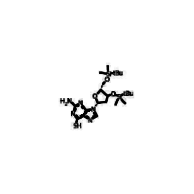 CC(C)(C)[Si](C)(C)OC[C@H]1O[C@@H](n2cnc3c(S)nc(N)nc32)CC1O[Si](C)(C)C(C)(C)C